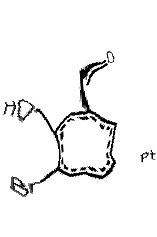 O=Cc1cccc(Br)c1O.[Pt]